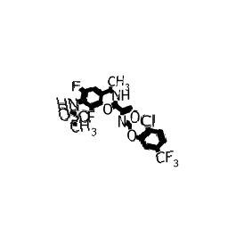 CC(NC(=O)c1coc(Oc2cc(C(F)(F)F)ccc2Cl)n1)c1cc(F)c(NS(C)(=O)=O)c(F)c1